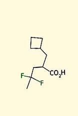 CC(F)(F)CC(CC1CCC1)C(=O)O